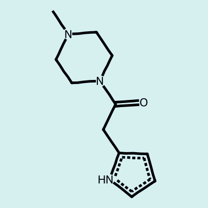 CN1CCN(C(=O)Cc2ccc[nH]2)CC1